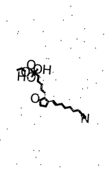 CCOC(=O)C(O)(O)CCCCC[C@H]1C(=O)CC[C@@H]1C=CCCCCCC#N